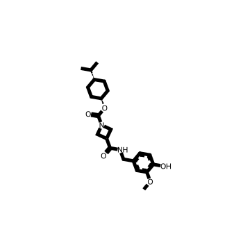 COc1cc(CNC(=O)C2CN(C(=O)O[C@H]3CC[C@@H](C(C)C)CC3)C2)ccc1O